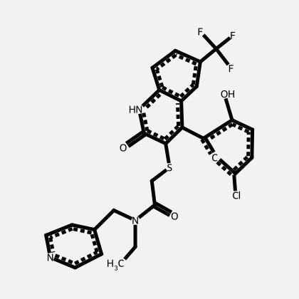 CCN(Cc1ccncc1)C(=O)CSc1c(-c2cc(Cl)ccc2O)c2cc(C(F)(F)F)ccc2[nH]c1=O